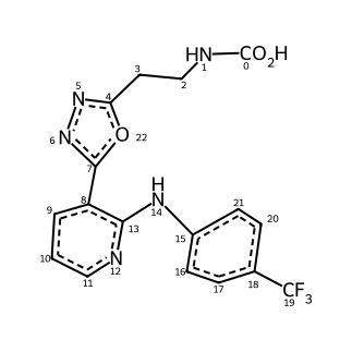 O=C(O)NCCc1nnc(-c2cccnc2Nc2ccc(C(F)(F)F)cc2)o1